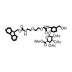 COC(=O)[C@H]1O[C@@H](Oc2ccc(CO)cc2NC(=O)COCCOCCNC(=O)OCC2c3ccccc3-c3ccccc32)[C@H](OC(C)=O)[C@@H](OC(C)=O)[C@@H]1OC(C)=O